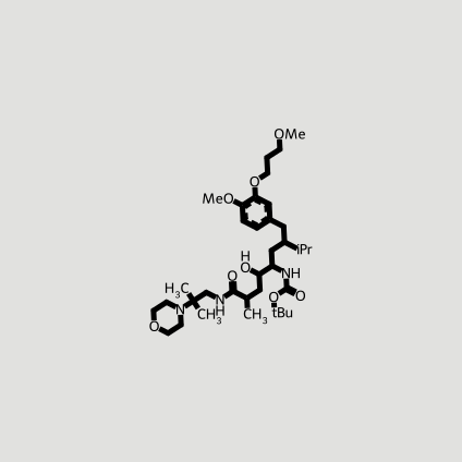 COCCCOc1cc(CC(CC(NC(=O)OC(C)(C)C)C(O)CC(C)C(=O)NCC(C)(C)N2CCOCC2)C(C)C)ccc1OC